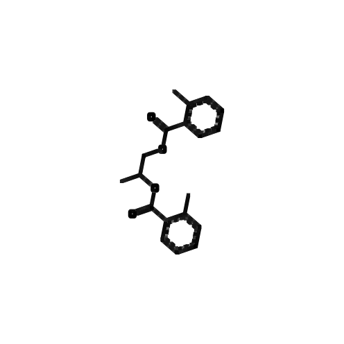 Cc1ccccc1C(=O)OCC(C)OC(=O)c1ccccc1C